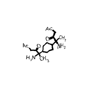 CC(=O)CC(=O)C(C)(N)C1CCC(C(C)(N)C(=O)CC(C)=O)CC1